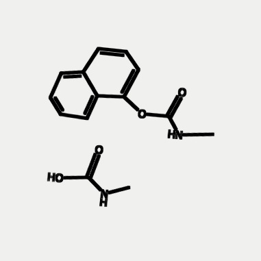 CNC(=O)O.CNC(=O)Oc1cccc2ccccc12